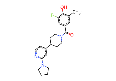 [CH2]c1cc(C(=O)N2CCC(c3ccnc(N4CCCC4)c3)CC2)cc(F)c1O